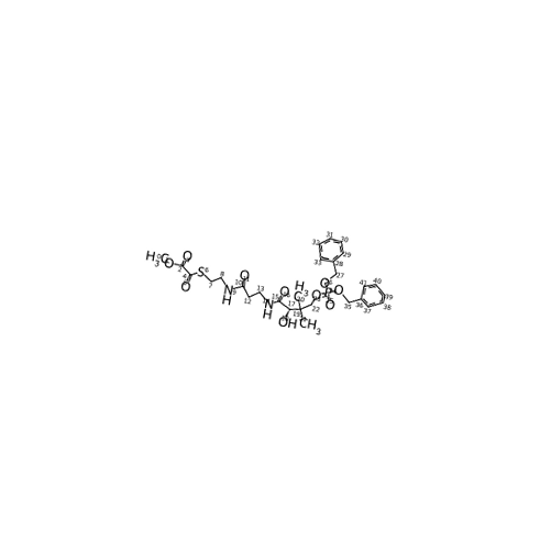 COC(=O)C(=O)SCCNC(=O)CCNC(=O)[C@H](O)C(C)(C)COP(=O)(OCc1ccccc1)OCc1ccccc1